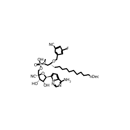 CCCCCCCCCCCCCCCCCCCC[C@H](CN(C)P(=O)(O)OC[C@@]1(C#N)O[C@@H](c2ccc3c(N)ncnn23)[C@H](O)[C@@H]1O)OCc1cc(F)cc(C#N)c1